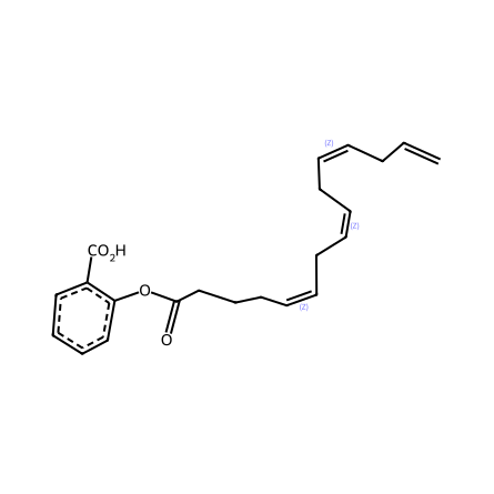 C=CC/C=C\C/C=C\C/C=C\CCCC(=O)Oc1ccccc1C(=O)O